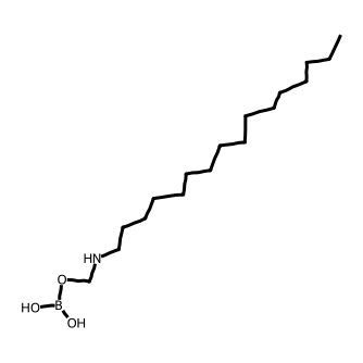 CCCCCCCCCCCCCCCCNCOB(O)O